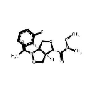 CON(C)C(=O)[C@H]1OC[C@@]2(c3ccccc3F)[C@@H]1CON2C(C)=O